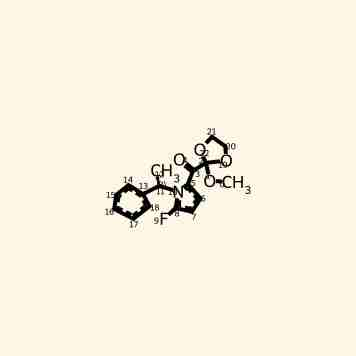 COC1(C(=O)c2ccc(F)n2[C@H](C)c2ccccc2)OCCO1